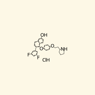 Cl.Oc1ccc2c(Oc3ccc(OCCC4CCCCN4)cc3)c(-c3cc(F)cc(F)c3)ccc2c1